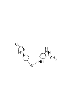 Cc1n[nH]c2ccc(NCC[C@@H]3CC3C3CCN(c4ncc(Cl)cn4)CC3)cc12